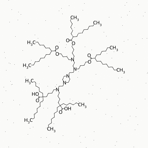 CCCCCCCCC(CCCCCC)C(=O)OCCCCN(CCCCOC(=O)C(CCCCCC)CCCCCCCC)CCN(CCCCOC(=O)C(CCCCCC)CCCCCCCC)CCN1CCN(CCN(CCCCC(CCCCCC)(CCCCCCCC)C(=O)O)CCCCC(CCCCCC)(CCCCCCCC)C(=O)O)CC1